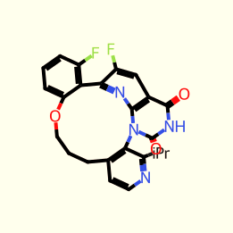 CC(C)c1nccc2c1-n1c(=O)[nH]c(=O)c3cc(F)c(nc31)-c1c(F)cccc1OCCC2